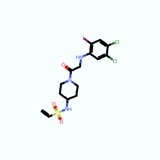 C=CS(=O)(=O)NC1CCN(C(=O)CNc2cc(Cl)c(Cl)cc2I)CC1